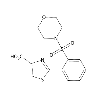 O=C(O)c1csc(-c2ccccc2S(=O)(=O)N2CCOCC2)n1